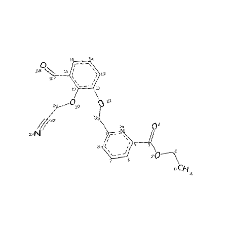 CCOC(=O)c1cccc(COc2cccc(C=O)c2OCC#N)n1